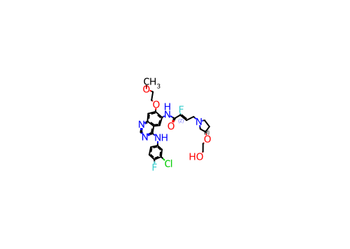 COCCOc1cc2ncnc(Nc3ccc(F)c(Cl)c3)c2cc1NC(=O)/C(F)=C/CN1CC[C@@H](OCCO)C1